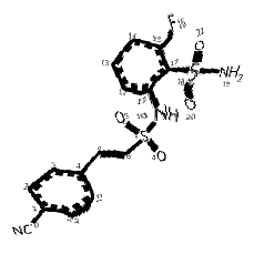 N#Cc1ccc(C=CS(=O)(=O)Nc2cccc(F)c2S(N)(=O)=O)cc1